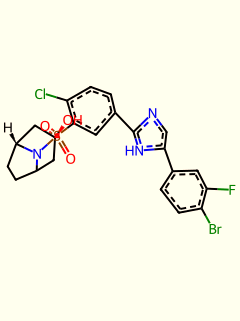 O=S(=O)(c1cc(-c2ncc(-c3ccc(Br)c(F)c3)[nH]2)ccc1Cl)N1C2CC[C@@H]1C[C@@H](O)C2